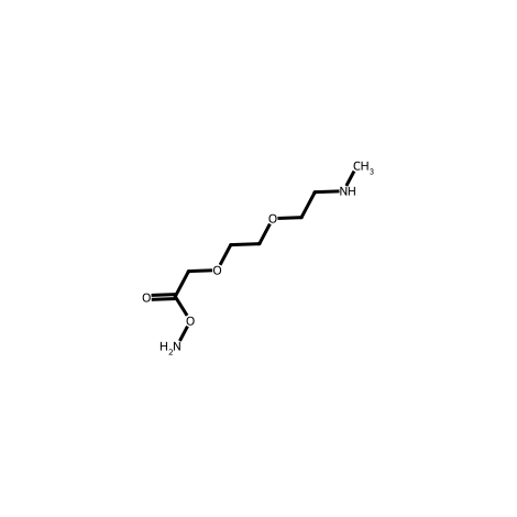 CNCCOCCOCC(=O)ON